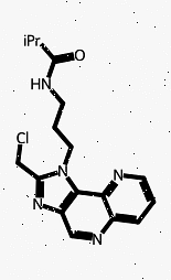 CC(C)C(=O)NCCCn1c(CCl)nc2cnc3cccnc3c21